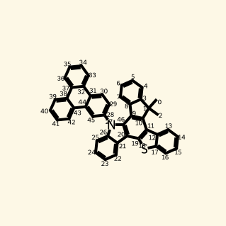 CC1(C)c2ccccc2-c2c1c1c3ccccc3sc1c1c3ccccc3n(-c3ccc4c5ccccc5c5ccccc5c4c3)c21